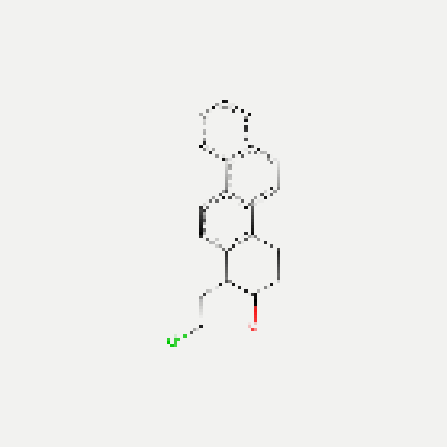 O=C1CCc2c(ccc3c2ccc2ccccc23)C1C=CCl